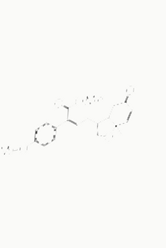 COC(=O)/C(=C\CC1COC2(C)C=CC(=O)CC12)c1ccc(OC)cc1